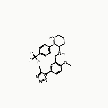 COc1ccc(-n2nnnc2C)cc1CN[C@@H]1CCCN[C@@H]1c1ccc(C(F)(F)F)cc1